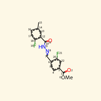 COC(=O)c1ccc(/C=N/NC(=O)c2cc(C)ccc2F)c(F)c1